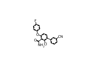 N#Cc1cccc(-c2ccc(Oc3ccc(F)cc3)c(C(N)=O)c2Cl)c1